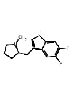 CN1CCC[C@@H]1Cc1c[nH]c2cc(F)c(F)cc12